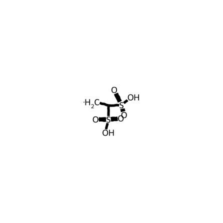 [CH2]C(S(=O)(=O)O)S(=O)(=O)O